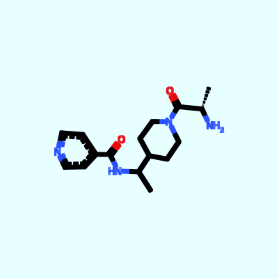 CC(NC(=O)c1ccncc1)C1CCN(C(=O)[C@H](C)N)CC1